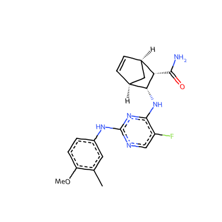 COc1ccc(Nc2ncc(F)c(N[C@H]3[C@@H](C(N)=O)[C@@H]4C=C[C@H]3C4)n2)cc1C